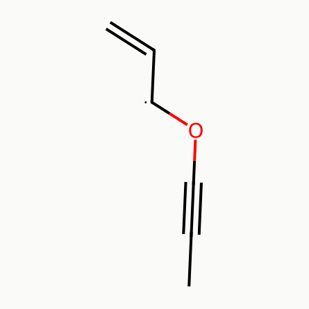 C=C[CH]OC#CC